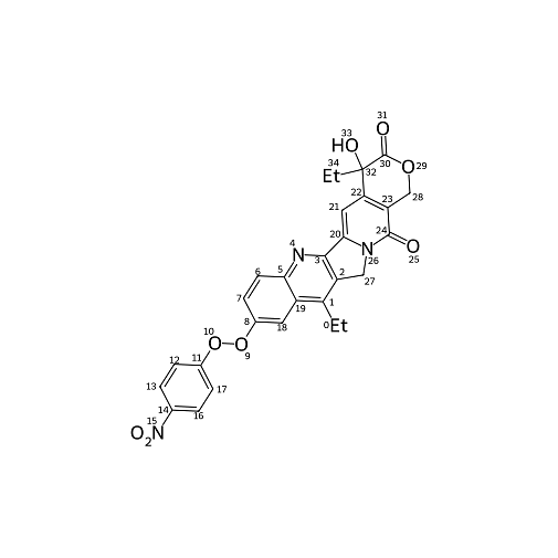 CCc1c2c(nc3ccc(OOc4ccc([N+](=O)[O-])cc4)cc13)-c1cc3c(c(=O)n1C2)COC(=O)C3(O)CC